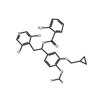 Nc1ccccc1C(=O)OC(Cc1c(Cl)cncc1Cl)c1ccc(OC(F)F)c(OCC2CC2)c1